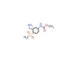 COC(=O)Nc1ccc(S(C)(=O)=O)c(CN)c1